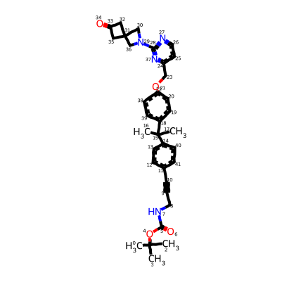 CC(C)(C)OC(=O)NCC#Cc1ccc(C(C)(C)c2ccc(OCc3ccnc(N4CC5(CC(=O)C5)C4)n3)cc2)cc1